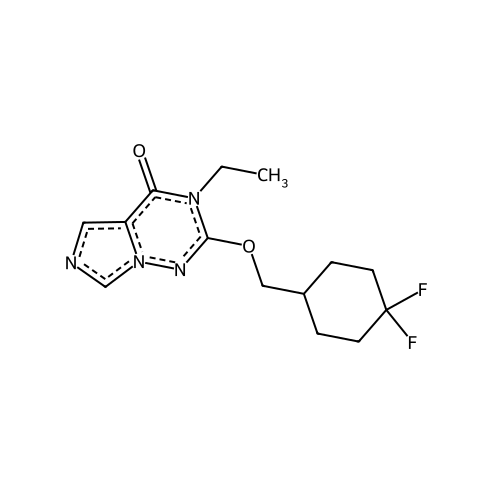 CCn1c(OCC2CCC(F)(F)CC2)nn2cncc2c1=O